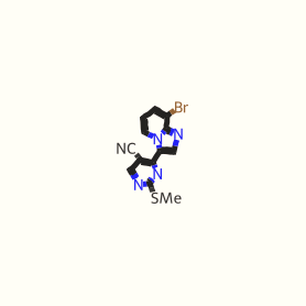 CSc1ncc(C#N)c(-c2cnc3c(Br)cccn23)n1